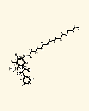 CCCCCCCCCCCCCCCCCCc1cc(C(=O)C(=O)c2ccccc2)c(N)c(C)c1C